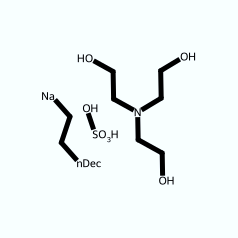 CCCCCCCCCCC[CH2][Na].O=S(=O)(O)O.OCCN(CCO)CCO